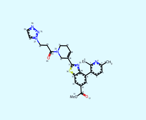 CCc1nc(C)ccc1-c1cc(C(=O)OC)cc2sc(C3=CCCN(C(=O)CCn4ccnn4)C3)nc12